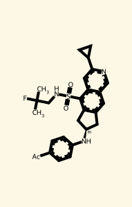 CC(=O)c1ccc(N[C@@H]2Cc3cc4cnc(C5CC5)cc4c(S(=O)(=O)NCC(C)(C)F)c3C2)cc1